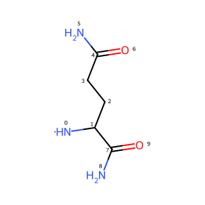 [NH]C(CCC(N)=O)C(N)=O